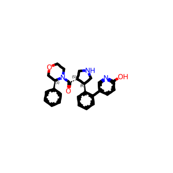 O=C([C@@H]1CNC[C@H]1c1ccccc1-c1ccc(O)nc1)N1CCOC[C@@H]1c1ccccc1